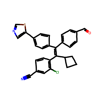 N#Cc1ccc(C(=C(c2ccc(C=O)cc2)c2ccc(-c3cncs3)cc2)C2CCC2)c(Cl)c1